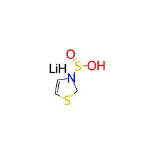 O=S(O)N1C=CSC1.[LiH]